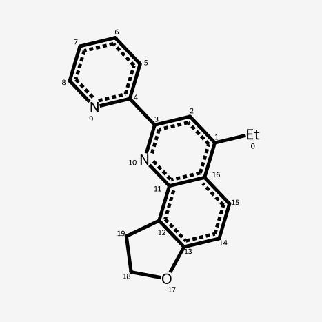 CCc1cc(-c2ccccn2)nc2c3c(ccc12)OCC3